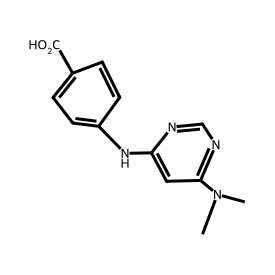 CN(C)c1cc(Nc2ccc(C(=O)O)cc2)ncn1